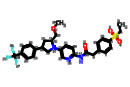 CCS(=O)(=O)c1ccc(CC(=O)Nc2ccc(N3CC(c4ccc(C(F)(F)F)cc4)C[C@H]3COC)cn2)cc1